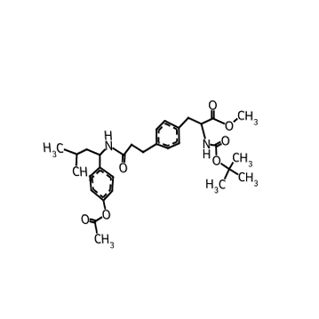 COC(=O)C(Cc1ccc(CCC(=O)NC(CC(C)C)c2ccc(OC(C)=O)cc2)cc1)NC(=O)OC(C)(C)C